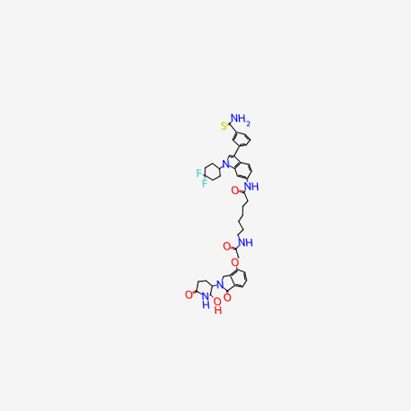 NC(=S)c1cccc(-c2cn(C3CCC(F)(F)CC3)c3cc(NC(=O)CCCCCCNC(=O)COc4cccc5c4CN(C4CCC(=O)NC4O)C5=O)ccc23)c1